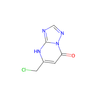 O=c1cc(CCl)[nH]c2ncnn12